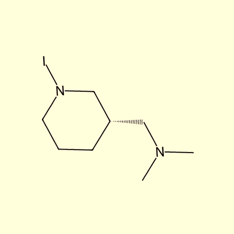 CN(C)C[C@@H]1CCCN(I)C1